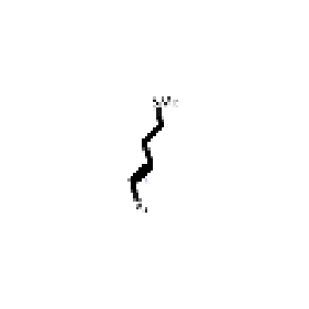 CSCC/C=C/C(C)=O